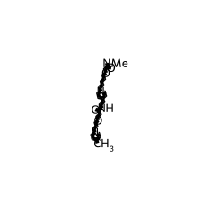 CNC(=O)COCCCCCN1CCC(CCNC(=O)CCOCCCN2CCC(C)CC2)CC1